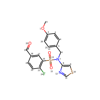 COc1ccc(CN(c2cscn2)S(=O)(=O)c2[c]c(C=O)ccc2F)cc1